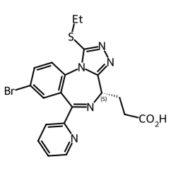 CCSc1nnc2n1-c1ccc(Br)cc1C(c1ccccn1)=N[C@H]2CCC(=O)O